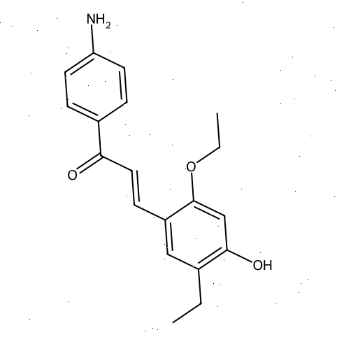 CCOc1cc(O)c(CC)cc1C=CC(=O)c1ccc(N)cc1